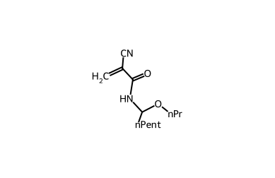 C=C(C#N)C(=O)NC(CCCCC)OCCC